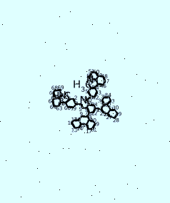 Cc1cc(-c2cc3c(-c4cc5ccccc5c5ccccc45)cc(-c4cc5ccccc5c5ccccc45)cc3c(-c3ccc(-c4cccc5cccnc45)c(C)c3)n2)ccc1-c1cccc2cccnc12